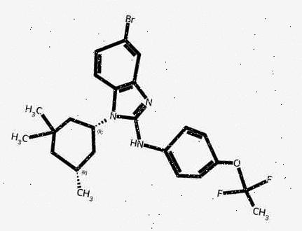 C[C@H]1C[C@@H](n2c(Nc3ccc(OC(C)(F)F)cc3)nc3cc(Br)ccc32)CC(C)(C)C1